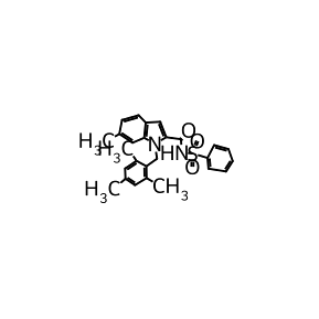 Cc1cc(C)c(Cn2c(C(=O)NS(=O)(=O)c3ccccc3)cc3ccc(C)cc32)c(C)c1